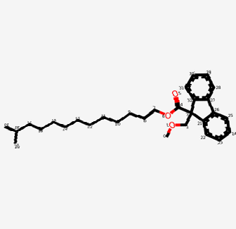 COCC1(C(=O)OCCCCCCCCCCCC(C)C)c2ccccc2-c2ccccc21